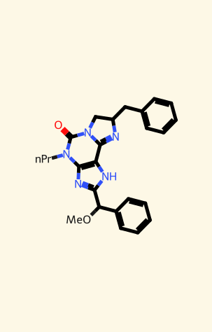 CCCN1C(=O)N2CC(Cc3ccccc3)N=C2c2[nH]c(C(OC)c3ccccc3)nc21